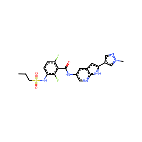 CCCS(=O)(=O)Nc1ccc(F)c(C(=O)Nc2cnc3[nH]c(-c4cnn(C)c4)cc3c2)c1F